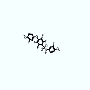 COc1ccc(NS(=O)(=O)c2c(F)c(F)c(Oc3ccc(OC)c(F)c3)c(F)c2F)cc1F